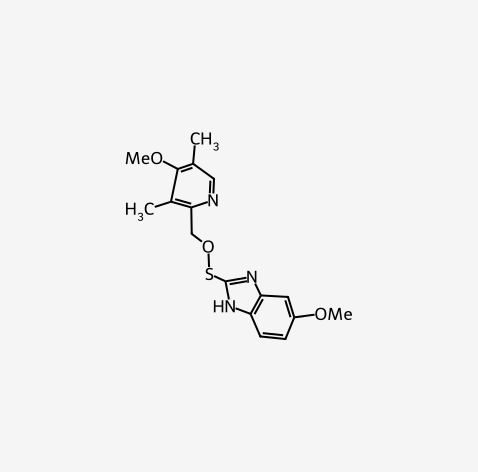 COc1ccc2[nH]c(SOCc3ncc(C)c(OC)c3C)nc2c1